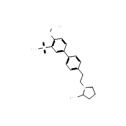 CC1CCCN1CCc1ccc(-c2ccc(OC(=O)O)c(S(C)(=O)=O)c2)cc1